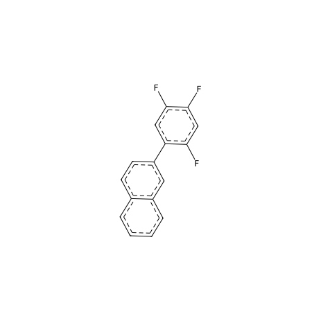 Fc1cc(F)c(-c2ccc3ccccc3c2)cc1F